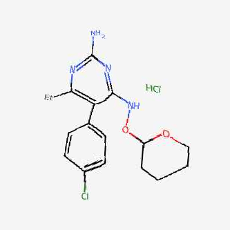 CCc1nc(N)nc(NOC2CCCCO2)c1-c1ccc(Cl)cc1.Cl